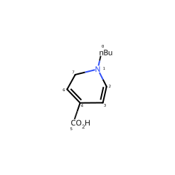 CCCCN1C=CC(C(=O)O)=CC1